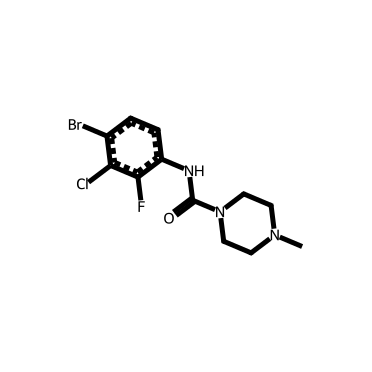 CN1CCN(C(=O)Nc2ccc(Br)c(Cl)c2F)CC1